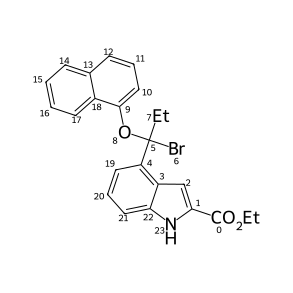 CCOC(=O)c1cc2c(C(Br)(CC)Oc3cccc4ccccc34)cccc2[nH]1